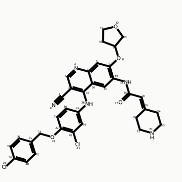 N#Cc1cnc2cc(OC3CCOC3)c(NC(=O)C=C3CCNCC3)cc2c1Nc1ccc(OCc2ccc(Cl)cc2)c(Cl)c1